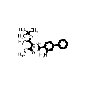 COC(=O)[C@@H](NC(=O)c1ccc(-c2ccccc2)cc1N)C(C)OC(C)(C)C